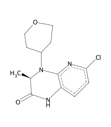 C[C@@H]1C(=O)Nc2ccc(Cl)nc2N1C1CCOCC1